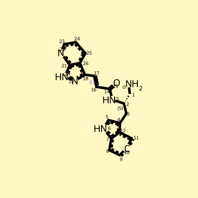 NC[C@H](Cc1c[nH]c2ccccc12)NC(=O)/C=C/c1n[nH]c2ncccc12